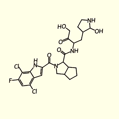 O=C(CO)C(CC1CCNC1O)NC(=O)C1C2CCCC2CN1C(=O)c1cc2c(Cl)cc(F)c(Cl)c2[nH]1